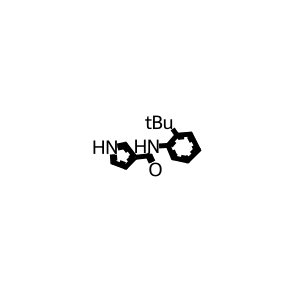 CC(C)(C)c1ccccc1NC(=O)c1cc[nH]c1